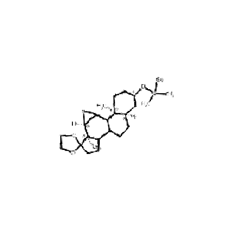 CC(C)(C)[Si](C)(C)O[C@@H]1CC[C@]2(C)C3C(CC[C@@H]2C1)C1CCC2(OCCO2)[C@@]1(C)[C@H]1OC31